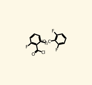 O=C(Cl)c1c(F)cccc1F.O=C(O)c1c(F)cccc1F